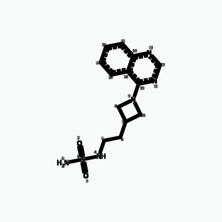 NS(=O)(=O)NCCC1CN(c2ncnc3ccccc23)C1